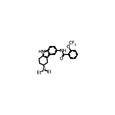 CCN(CC)C1CCc2[nH]c3ccc(NC(=O)c4ccccc4OC(F)(F)F)cc3c2C1